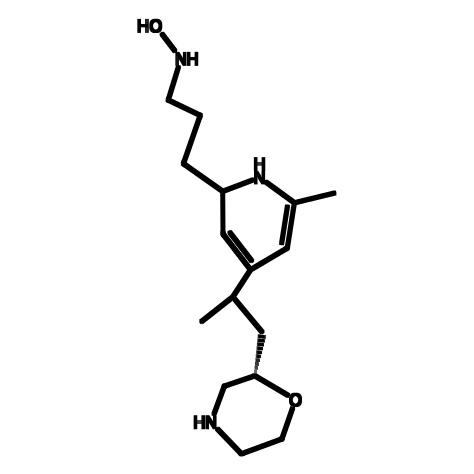 CC1=CC(C(C)C[C@H]2CNCCO2)=CC(CCCNO)N1